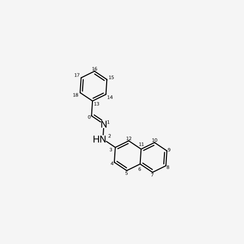 C(=NNc1ccc2ccccc2c1)c1ccccc1